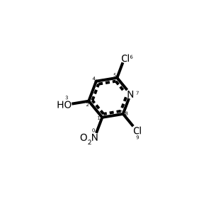 O=[N+]([O-])c1c(O)cc(Cl)nc1Cl